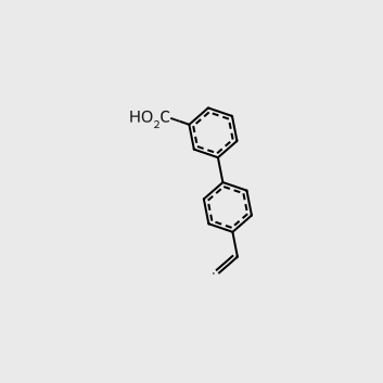 [CH]=Cc1ccc(-c2cccc(C(=O)O)c2)cc1